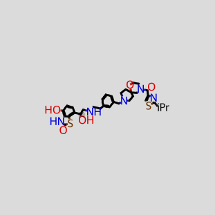 CC(C)c1nc(C(=O)N2CCOC3(CCN(Cc4cccc(CCNC[C@H](O)c5ccc(O)c6[nH]c(=O)sc56)c4)CC3)C2)cs1